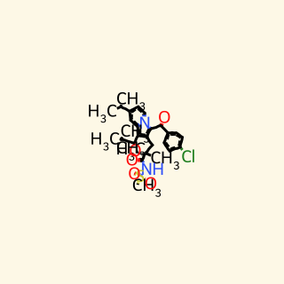 CC(C)c1ccn2c(C(=O)c3ccc(Cl)cc3)c(CC(C)(C)C(=O)NS(C)(=O)=O)c(C(=O)C(C)(C)C)c2c1